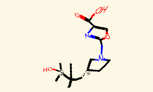 CC(C)(C[C@H]1CCN(c2nc(C(=O)O)co2)C1)[Si](C)(C)O